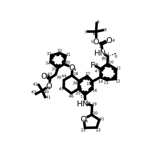 C[C@@H](NC(=O)OC(C)(C)C)c1cccc(-c2cc(NCC3CCCO3)c3c(c2)C(Oc2ccccc2CC(=O)OC(C)(C)C)CCC3)c1F